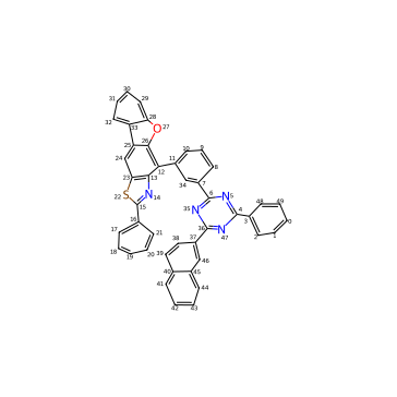 c1ccc(-c2nc(-c3cccc(-c4c5nc(-c6ccccc6)sc5cc5c4oc4ccccc45)c3)nc(-c3ccc4ccccc4c3)n2)cc1